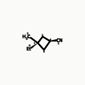 CC[C@]1(C)C[C@@H](C#N)C1